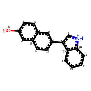 Oc1ccc2cc(-c3c[nH]c4ccccc34)ccc2c1